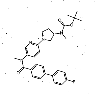 CN(C(=O)c1ccc(-c2ccc(F)cc2)cc1)c1ccc(N2CCC(N(C)C(=O)OC(C)(C)C)C2)nc1